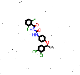 CC(C)C(Oc1ccc(NC(=O)NC(=O)c2c(F)cccc2F)cc1)c1ccc(Cl)c(Cl)c1